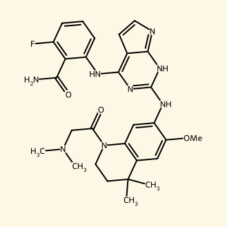 COc1cc2c(cc1Nc1nc(Nc3cccc(F)c3C(N)=O)c3ccnc-3[nH]1)N(C(=O)CN(C)C)CCC2(C)C